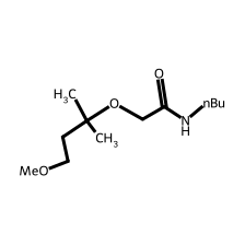 CCCCNC(=O)COC(C)(C)CCOC